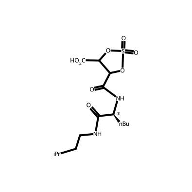 CCCC[C@H](NC(=O)C1OS(=O)(=O)OC1C(=O)O)C(=O)NCCC(C)C